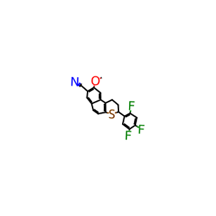 COc1cc2c3c(ccc2cc1C#N)SC(c1cc(F)c(F)cc1F)CC3